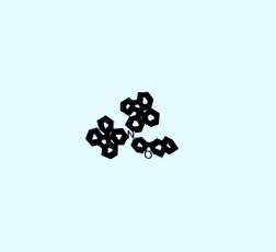 c1ccc(C2(c3ccc(N(c4ccc(C5(c6ccccc6)c6ccccc6-c6ccccc65)cc4)c4ccc5oc6cc7ccccc7cc6c5c4)cc3)c3ccccc3-c3ccccc32)cc1